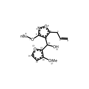 C=CCc1onc(OCCCC)c1C(O)c1occc1OC